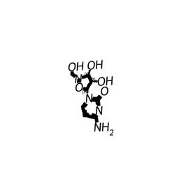 Nc1ccn([C@@H]2ON(CO)[C@@H](O)[C@H]2O)c(=O)n1